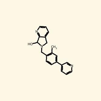 Cc1cc(-c2cccnc2)ccc1CN1Cc2cccnc2C1O